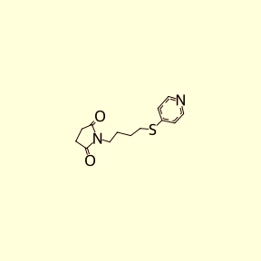 O=C1CCC(=O)N1CCCCSc1ccncc1